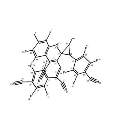 Cc1c(F)c(F)c(/C(C#N)=C(/C=C(/C#N)c2c(F)c(F)c(C#N)c(F)c2F)C2(C)C(C)C2c2c(F)c(F)c(C#N)c(F)c2F)c(F)c1F